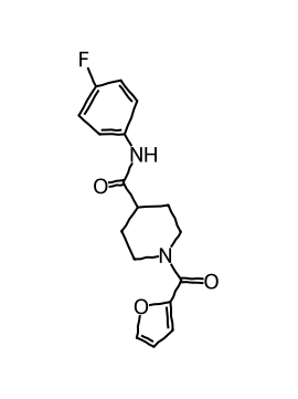 O=C(Nc1ccc(F)cc1)C1CCN(C(=O)c2ccco2)CC1